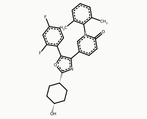 Cc1cccc(C)c1-n1cc(-c2nc([C@H]3CC[C@@H](O)CC3)oc2-c2ccc(F)cc2F)ccc1=O